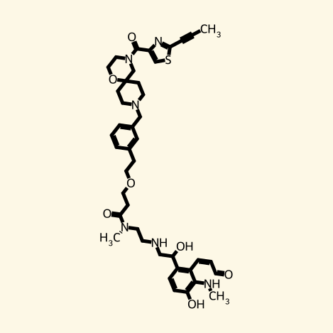 CC#Cc1nc(C(=O)N2CCOC3(CCN(Cc4cccc(CCOCCC(=O)N(C)CCNCC(O)c5ccc(O)c(NC)c5/C=C\C=O)c4)CC3)C2)cs1